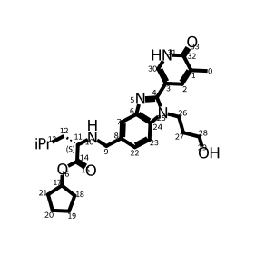 Cc1cc(-c2nc3cc(CN[C@@H](CC(C)C)C(=O)OC4CCCC4)ccc3n2CCCO)c[nH]c1=O